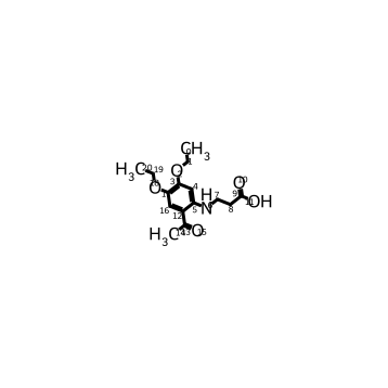 CCOc1cc(NCCC(=O)O)c(C(C)=O)cc1OCC